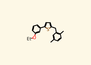 CCOc1cccc(-c2ccc(Cc3cc(C)ccc3C)s2)c1